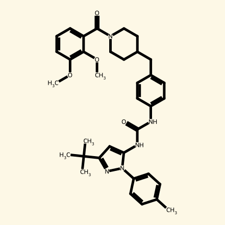 COc1cccc(C(=O)N2CCC(Cc3ccc(NC(=O)Nc4cc(C(C)(C)C)nn4-c4ccc(C)cc4)cc3)CC2)c1OC